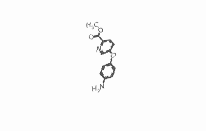 COC(=O)c1ccc(Oc2ccc(N)cc2)cn1